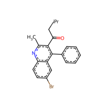 Cc1nc2ccc(Br)cc2c(-c2ccccc2)c1C(=O)CC(C)C